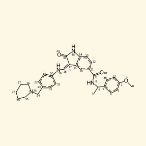 COc1ccc(C(C)NC(=O)c2ccc3c(c2)/C(=C/Nc2ccc(CN4CCCCC4)cc2)C(=O)N3)cc1